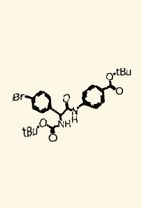 CC(C)(C)OC(=O)NC(C(=O)Nc1ccc(C(=O)OC(C)(C)C)cc1)c1ccc(Br)cc1